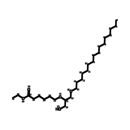 CCCCCCCCCCCCCCCCOCC(CO)OCCCCCC(=O)OCC